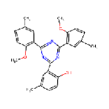 COc1ccc(C)cc1-c1nc(-c2cc(C)ccc2O)nc(-c2cc(C)ccc2OC)n1